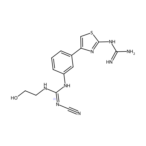 N#C/N=C(/NCCO)Nc1cccc(-c2csc(NC(=N)N)n2)c1